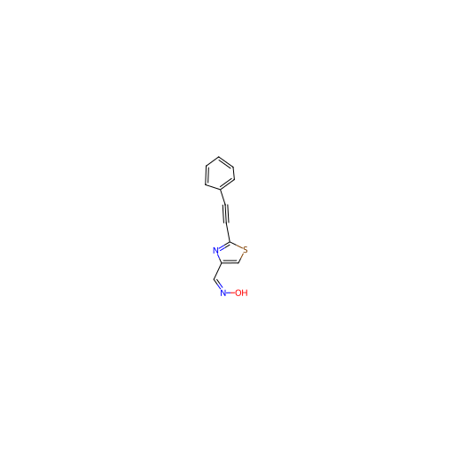 O/N=C\c1csc(C#Cc2ccccc2)n1